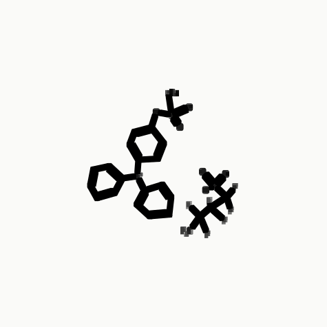 CCCCS(=O)(=O)Oc1ccc([S+](c2ccccc2)c2ccccc2)cc1.O=S(=O)([O-])C(F)(F)C(F)(F)C(F)(F)C(F)(F)F